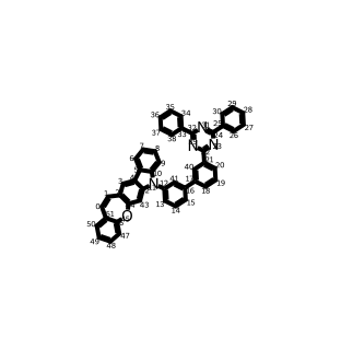 C1=Cc2cc3c4ccccc4n(-c4cccc(-c5cccc(-c6nc(-c7ccccc7)nc(-c7ccccc7)n6)c5)c4)c3cc2Oc2ccccc21